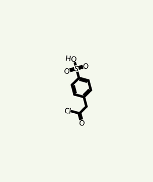 O=C(Cl)Cc1ccc(S(=O)(=O)O)cc1